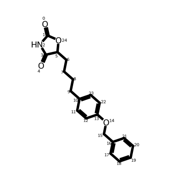 O=C1NC(=O)C(CCCCc2ccc(OCc3ccccc3)cc2)O1